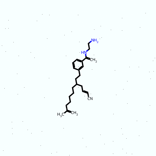 C=C(C)CCCCCC(C/C=C/C#N)CCc1cccc(C(=C)NCCN)c1